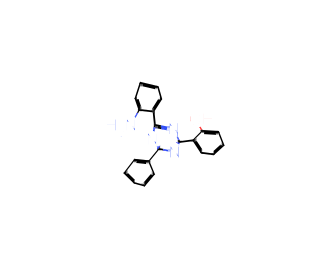 Nc1ccccc1-c1nc(-c2ccccc2)nc(-c2ccccc2O)n1